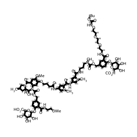 C=C1C[C@H]2C(O)N(C(=O)OCc3ccc(O[C@@H]4O[C@H](C(=O)O)[C@@H](O)[C@H](O)[C@H]4O)c(C(=O)NCCOC)c3)c3cc(OCCCC(=O)Nc4cc(C(=O)Nc5cc(C(=O)NCCCN(C)C(=O)OCc6ccc(O[C@@H]7O[C@H](C(=O)O)[C@@H](O)[C@H](O)[C@H]7O)c(C(=O)NCCOCCOCCONC(=O)OC(C)(C)C)c6)n(C)c5)n(C)c4)c(OC)cc3C(=O)N2C1